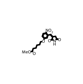 COC(=O)CCCCCOc1ccc([N+](=O)[O-])c(C=C2CC(=O)NC2=O)c1